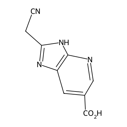 N#CCc1nc2cc(C(=O)O)cnc2[nH]1